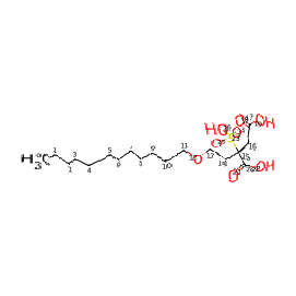 CCCCCCCCCCCCOCCC(CC(=O)O)(C(=O)O)S(=O)(=O)O